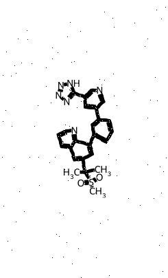 CC(C)(c1cc(-c2cccc(-c3cncc(-c4nnn[nH]4)c3)c2)c2ncccc2c1)S(C)(=O)=O